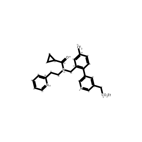 CCOC(=O)Cc1cncc(-c2ccc(C(F)(F)F)cc2CN(CCc2ccccn2)C(=O)C2CC2)c1